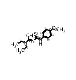 CCN(CC)/C(C)=N/C(=S)Nc1ccc(OC)cc1